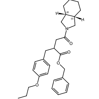 CCCOc1ccc(CC(CC(=O)N2C[C@H]3CCCC[C@H]3C2)C(=O)OCc2ccccc2)cc1